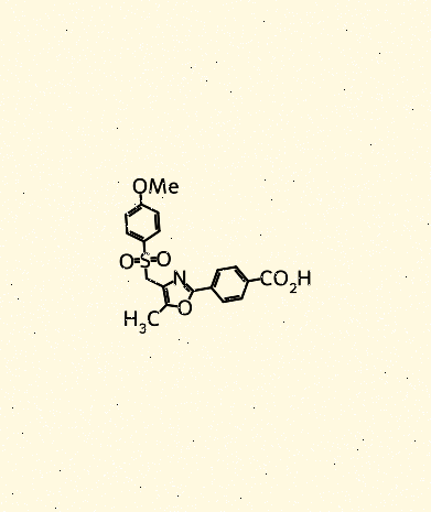 COc1ccc(S(=O)(=O)Cc2nc(-c3ccc(C(=O)O)cc3)oc2C)cc1